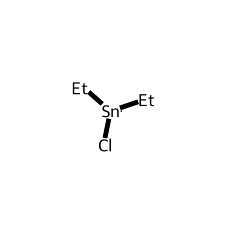 C[CH2][Sn]([Cl])[CH2]C